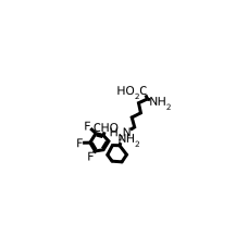 NC1CCCCC1.NCCCCC(N)C(=O)O.O=Cc1ccc(F)c(F)c1F